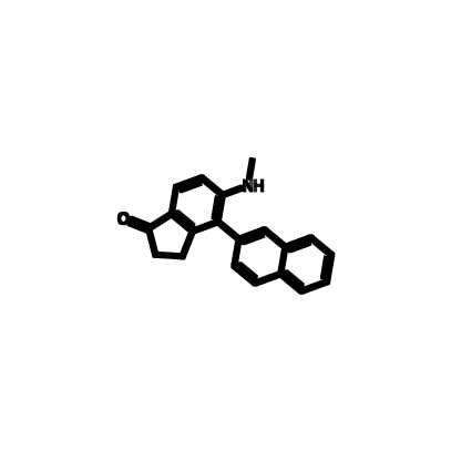 CNc1ccc2c(c1-c1ccc3ccccc3c1)CCC2=O